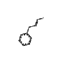 FC=CCc1[c]cccc1